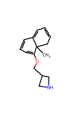 CC12CC=CC=C1C=CC=C2OCC1CNC1